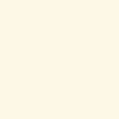 CCCCCCCCCCCCCCC1Oc2cscc2OC1C